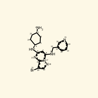 N[C@H]1CC[C@@H](Nc2cc(NCc3cccnc3)n3ncc(Br)c3n2)CC1